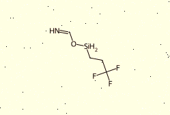 N=CO[SiH2]CCC(F)(F)F